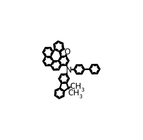 CC1(C)c2ccccc2-c2ccc(N(c3ccc(-c4ccccc4)cc3)c3cc4oc5cccc6c5c4c4c3ccc3ccc5cccc-6c5c34)cc21